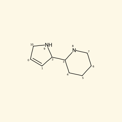 C1=CC(C2CCCC[N]2)NC1